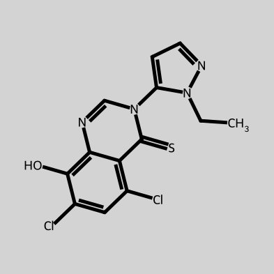 CCn1nccc1-n1cnc2c(O)c(Cl)cc(Cl)c2c1=S